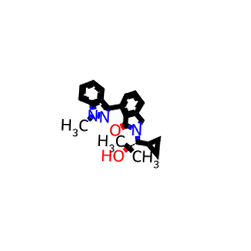 Cn1nc(-c2cccc3c2C(=O)N([C@H](C2CC2)C(C)(C)O)C3)c2ccccc21